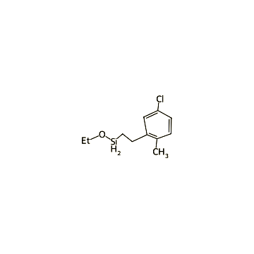 CCO[SiH2]CCc1cc(Cl)ccc1C